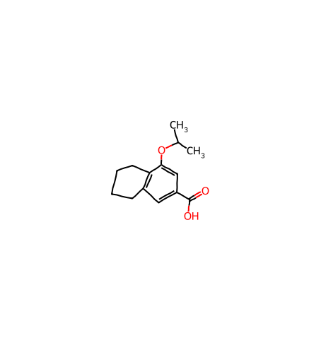 CC(C)Oc1cc(C(=O)O)cc2c1CCCC2